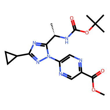 COC(=O)c1cnc(-n2nc(C3CC3)nc2[C@H](C)NC(=O)OC(C)(C)C)cn1